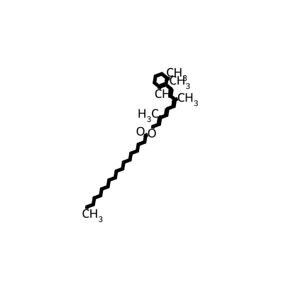 CCCCCCCCCCCCCCCCCC(=O)OC/C=C(C)/C=C/C=C(C)\C=C\C1=C(C)CCCC1(C)C